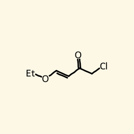 CCO/C=C/C(=O)CCl